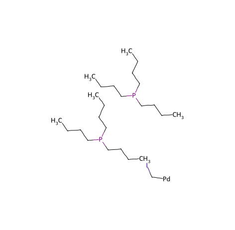 CCCCP(CCCC)CCCC.CCCCP(CCCC)CCCC.[Pd][CH2]I